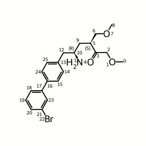 COCC(=O)[C@H](COC)C[C@@H](N)Cc1ccc(-c2cccc(Br)c2)cc1